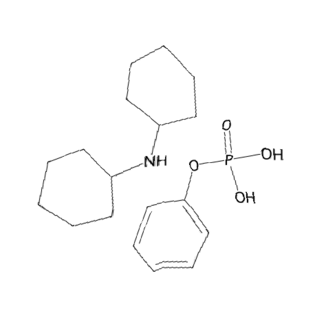 C1CCC(NC2CCCCC2)CC1.O=P(O)(O)Oc1ccccc1